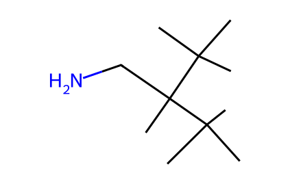 CC(C)(C)C(C)(CN)C(C)(C)C